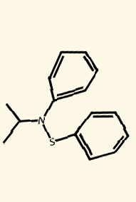 CC(C)N(Sc1ccccc1)c1ccccc1